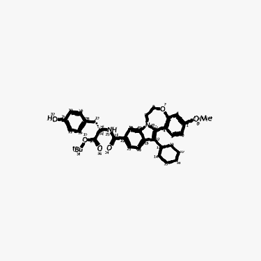 COc1ccc2c(c1)OCCn1c-2c(C2CCCCC2)c2ccc(C(=O)N[C@@H](Cc3ccc(O)cc3)C(=O)OC(C)(C)C)cc21